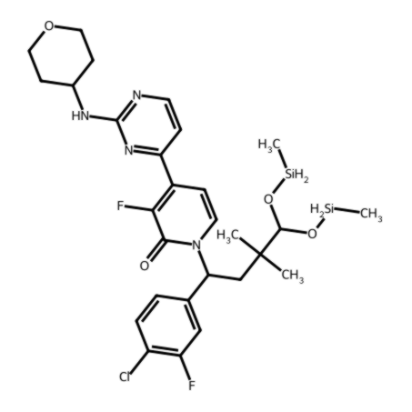 C[SiH2]OC(O[SiH2]C)C(C)(C)CC(c1ccc(Cl)c(F)c1)n1ccc(-c2ccnc(NC3CCOCC3)n2)c(F)c1=O